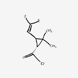 CC1(C)C(C=C(F)F)[C@H]1C(=O)Cl